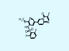 COc1ncc(-c2ccc3ncc(F)c(=O)n3c2)cc1NS(=O)(=O)c1c(F)cccc1F